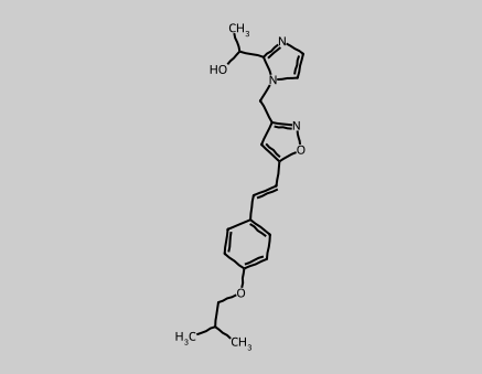 CC(C)COc1ccc(C=Cc2cc(Cn3ccnc3C(C)O)no2)cc1